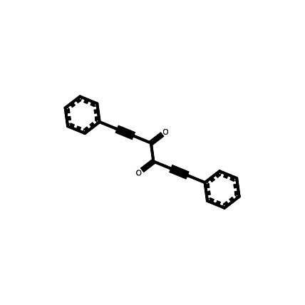 O=C(C#Cc1ccccc1)C(=O)C#Cc1ccccc1